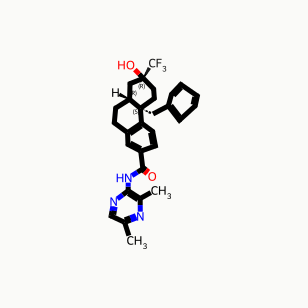 Cc1cnc(NC(=O)c2ccc3c(c2)CC[C@@H]2C[C@@](O)(C(F)(F)F)CC[C@@]32Cc2ccccc2)c(C)n1